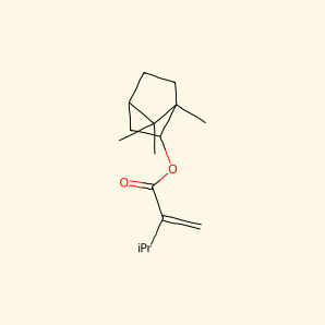 C=C(C(=O)OC1CC2CCC1(C)C2(C)C)C(C)C